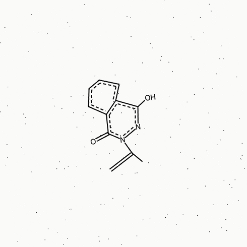 C=C(C)n1nc(O)c2ccccc2c1=O